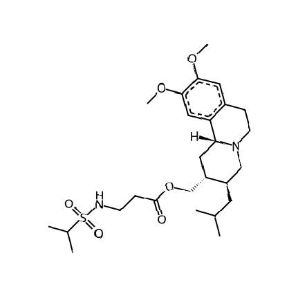 COc1cc2c(cc1OC)[C@H]1C[C@@H](COC(=O)CCNS(=O)(=O)C(C)C)[C@H](CC(C)C)CN1CC2